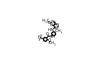 COc1ncc2ncnc(Nc3cc(NC(=O)c4cc(C(F)(F)F)ccc4OC)ccc3C)c2n1